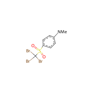 CNc1ccc(S(=O)(=O)C(Br)(Br)Br)cc1